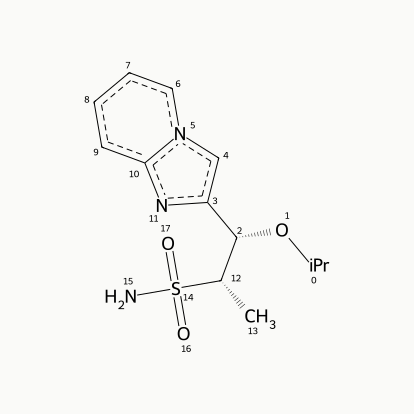 CC(C)O[C@@H](c1cn2ccccc2n1)[C@H](C)S(N)(=O)=O